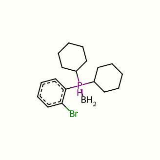 B[PH](c1ccccc1Br)(C1CCCCC1)C1CCCCC1